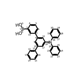 OB(O)c1cccc(-c2cc(-c3ccccc3)cc(N(c3ccccc3)c3ccccc3)c2)c1